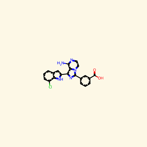 Nc1nccn2c(-c3cccc(C(=O)O)c3)nc(-c3cc4cccc(Cl)c4[nH]3)c12